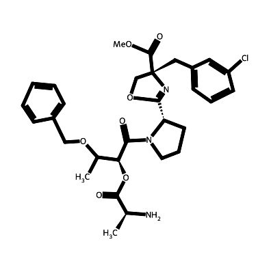 COC(=O)[C@@]1(Cc2cccc(Cl)c2)COC([C@@H]2CCCN2C(=O)[C@@H](OC(=O)[C@H](C)N)C(C)OCc2ccccc2)=N1